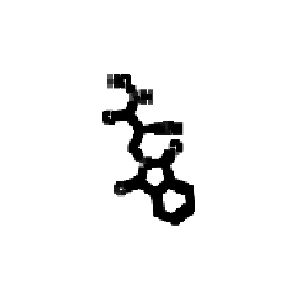 CCCCC(CN1C(=O)c2ccccc2C1=O)C(=O)NO